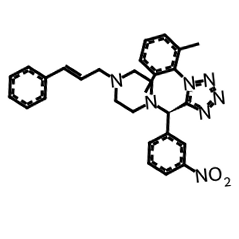 Cc1cccc(C)c1-n1nnnc1[C@@H](c1cccc([N+](=O)[O-])c1)N1CCN(C/C=C/c2ccccc2)CC1